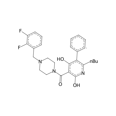 CCCCc1nc(O)c(C(=O)N2CCN(Cc3cccc(F)c3F)CC2)c(O)c1-c1[c]cccc1